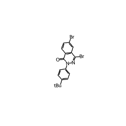 CC(C)(C)c1ccc(-n2nc(Br)c3cc(Br)ccc3c2=O)cc1